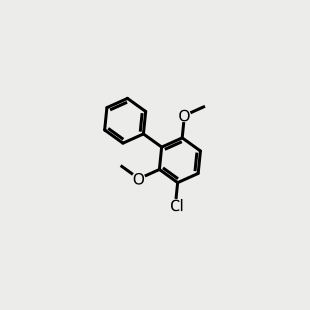 COc1ccc(Cl)c(OC)c1-c1ccccc1